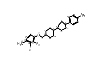 CCCc1ccc(C2CCC(C3CCC(COc4ccc(C)c(F)c4F)CC3)CC2)cc1